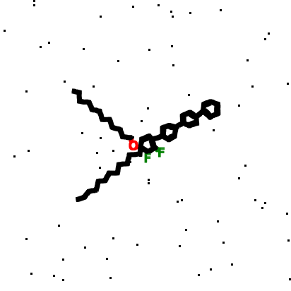 CCCCCCCCCCCCOC1(CCCCCCCCCCCC)C=CC(c2ccc(-c3ccc(-c4ccccc4)cc3)cc2)=C(F)C1F